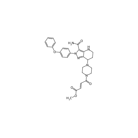 COC(=O)/C=C/C(=O)N1CCN(C2CCNc3c2nn(-c2ccc(Oc4ccccc4)cc2)c3C(N)=O)CC1